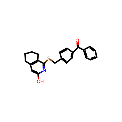 O=C(c1ccccc1)c1ccc(CSc2nc(O)cc3c2CCCC3)cc1